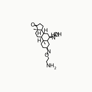 C[C@]12CCC(=NOCCN)CC1C(=NO)C[C@@H]1[C@@H]2CC[C@]2(C)C(=O)CC[C@@H]12.Cl